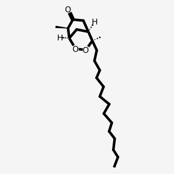 CCCCCCCCCCCCCC[C@@]1(C)OO[C@@H]2C[C@H]1CC(=O)[C@@H]2C